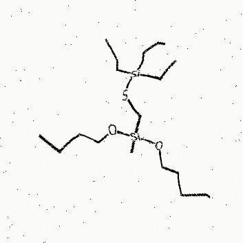 CCCCO[Si](C)(CS[Si](CC)(CC)CC)OCCCC